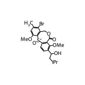 COc1cc(C)c(Br)c2c1[S+]([O-])c1ccc(C(O)CC(C)C)c(OC)c1C(=O)OC2